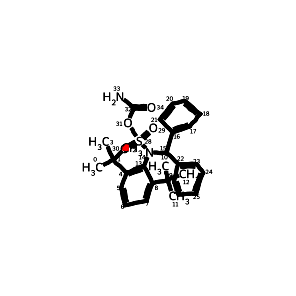 CC(C)(C)c1cccc(C(C)(C)C)c1N(C(c1ccccc1)c1ccccc1)S(=O)(=O)OC(N)=O